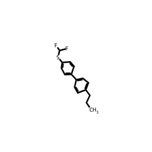 CCCc1ccc(-c2ccc(SC(F)F)cc2)cc1